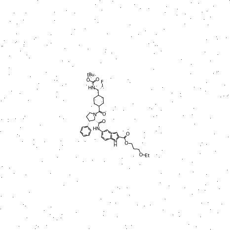 CCOCCCOC(=O)c1cc2cc(NC(=O)[C@@H]3[C@H](c4ccccc4)CCN3C(=O)C3CCC([C@@H](CF)NC(=O)OC(C)(C)C)CC3)ccc2[nH]1